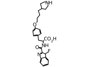 O=C(NC(Cc1ccc(OCCCCC2CCNCC2)cc1)C(=O)O)C1=Nc2ccccc2C1F